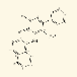 CCn1nc(-c2ccccc2)c(C(=O)O)c(Nc2cccc3ncccc23)c1=O